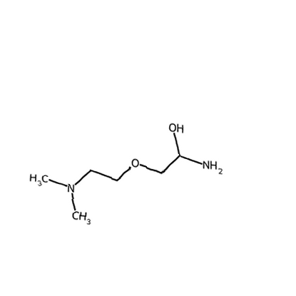 CN(C)CCOCC(N)O